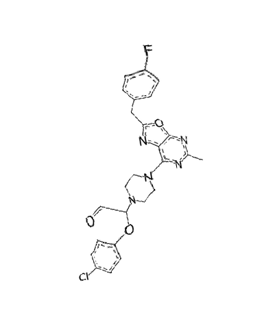 Cc1nc(N2CCN(C(C=O)Oc3ccc(Cl)cc3)CC2)c2nc(Cc3ccc(F)cc3)oc2n1